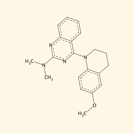 COc1ccc2c(c1)CCCN2c1nc(N(C)C)nc2ccccc12